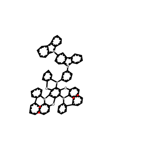 c1ccc(-c2ccccc2B2c3ccccc3Oc3c2c2c(c4c3B(c3ccccc3-c3ccccc3)c3ccccc3O4)B(c3cccc(-n4c5ccccc5c5cc(-n6c7ccccc7c7ccccc76)ccc54)c3)c3ccccc3O2)cc1